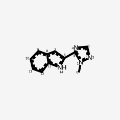 Cn1ncnc1-c1cc2ccccc2[nH]1